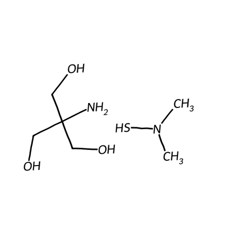 CN(C)S.NC(CO)(CO)CO